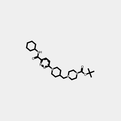 CC(C)(C)OC(=O)N1CCN(CC2CCN(c3ccc(C(=O)NC4CCCCC4)nn3)CC2)CC1